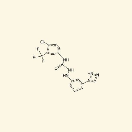 O=C(NNc1cccc(-n2cn[nH]2)c1)Nc1ccc(Cl)c(C(F)(F)F)c1